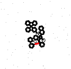 c1ccc(C2(c3ccc(N(c4ccc5c(c4)C4(c6ccccc6Oc6ccccc64)c4ccccc4[Si]5(c4ccccc4)c4ccccc4)c4cccc5ccccc45)cc3)c3ccccc3-c3ccccc32)cc1